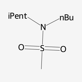 CCCCN(C(C)CCC)S(C)(=O)=O